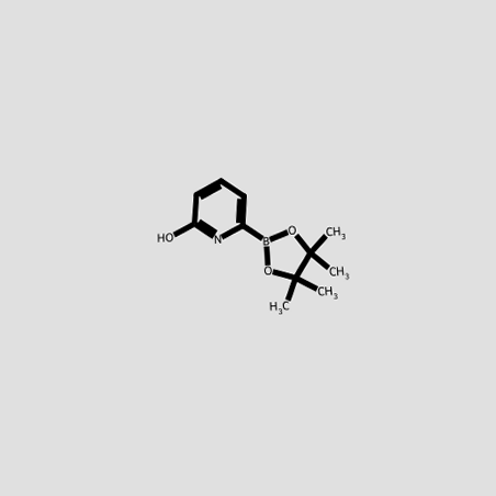 CC1(C)OB(c2cccc(O)n2)OC1(C)C